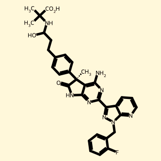 CC(C)(NC(O)CCc1ccc([C@]2(C)C(=O)Nc3nc(-c4nn(Cc5ccccc5F)c5ncccc45)nc(N)c32)cc1)C(=O)O